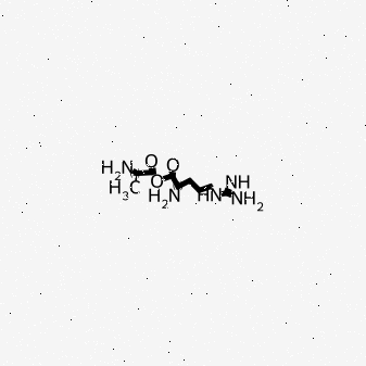 C[C@H](N)C(=O)OC(=O)[C@@H](N)CCCNC(=N)N